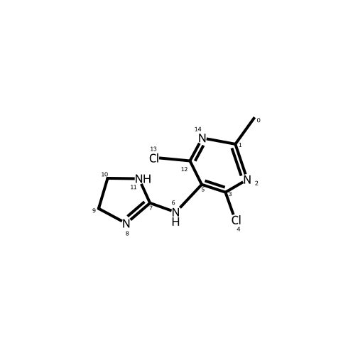 Cc1nc(Cl)c(NC2=NCCN2)c(Cl)n1